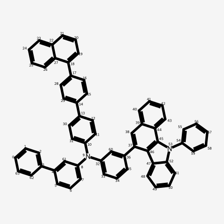 c1ccc(-c2cccc(N(c3ccc(-c4ccc(-c5cccc6ccccc56)cc4)cc3)c3cccc(-c4cc5ccccc5c5c4c4ccccc4n5-c4ccccc4)c3)c2)cc1